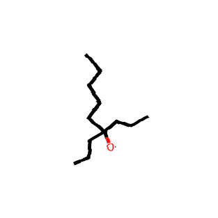 CCCCCC([O])(CCC)CCC